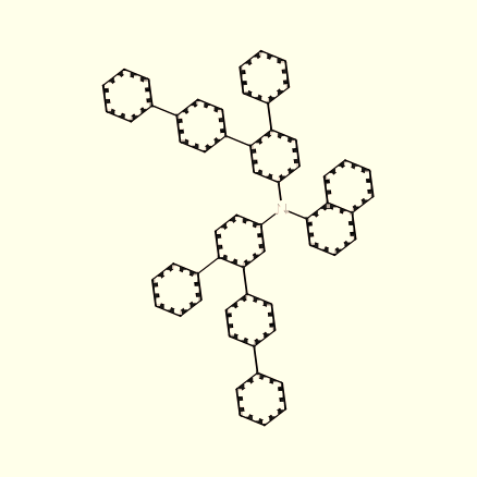 c1ccc(-c2ccc(-c3cc(N(c4ccc(-c5ccccc5)c(-c5ccc(-c6ccccc6)cc5)c4)c4cccc5ccccc45)ccc3-c3ccccc3)cc2)cc1